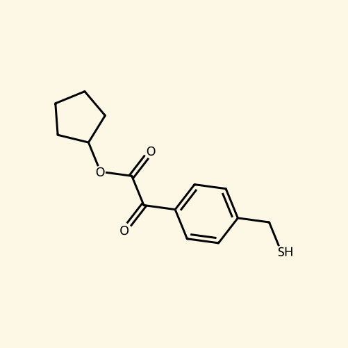 O=C(OC1CCCC1)C(=O)c1ccc(CS)cc1